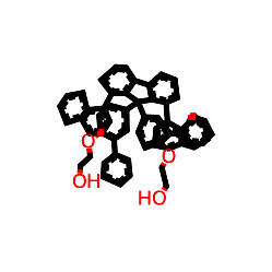 OCCOc1ccc(C2(c3ccc(OCCO)c(-c4ccccc4)c3)c3c(cccc3-c3cccc4ccccc34)-c3cccc(-c4cccc5ccccc45)c32)cc1-c1ccccc1